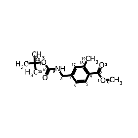 COC(=O)c1ccc(CNC(=O)OC(C)(C)C)cc1C